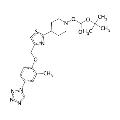 Cc1cc(-n2cnnn2)ccc1OCc1csc(C2CCN(OC(=O)OC(C)(C)C)CC2)n1